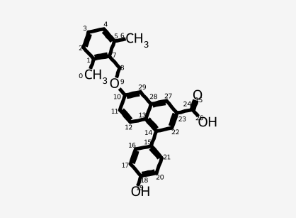 Cc1cccc(C)c1COc1ccc2c(-c3ccc(O)cc3)cc(C(=O)O)cc2c1